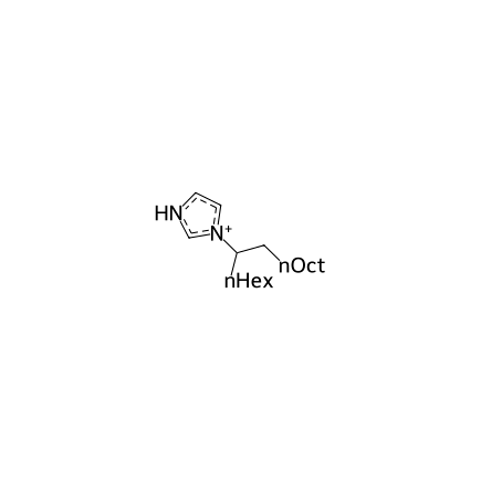 CCCCCCCCCC(CCCCCC)[n+]1cc[nH]c1